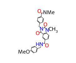 CNC(=O)c1ccc(Cn2c(=O)c3cc(C(=O)NCc4ccc(OC)cc4)ccc3n(C)c2=O)cc1